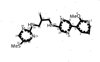 COc1ncccc1-c1cnc(NCC(C)CNc2ncc(SC)cn2)cn1